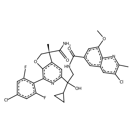 COc1cc(C(=O)NCC(O)(c2cc3c(c(-c4c(F)cc(Cl)cc4F)n2)OC[C@]3(C)C(N)=O)C2CC2)cc2cc(Cl)c(C)nc12